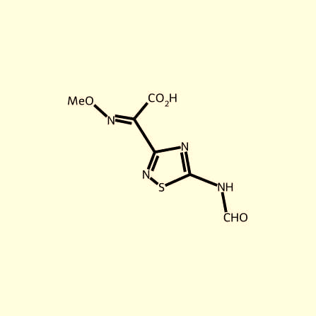 CON=C(C(=O)O)c1nsc(NC=O)n1